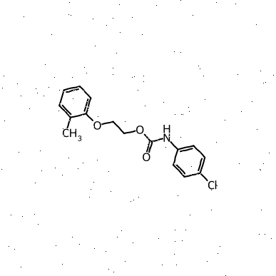 Cc1ccccc1OCCOC(=O)Nc1ccc(Cl)cc1